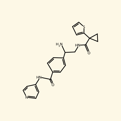 NC(CNC(=O)C1(c2cccs2)CC1)c1ccc(C(=O)Nc2ccncc2)cc1